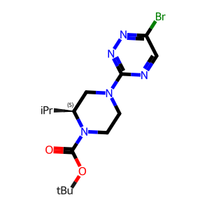 CC(C)[C@H]1CN(c2ncc(Br)nn2)CCN1C(=O)OC(C)(C)C